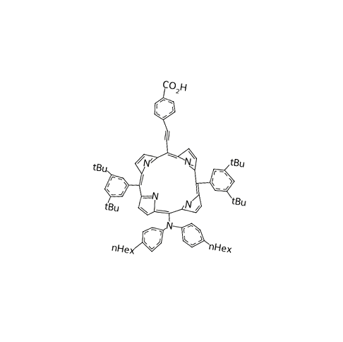 CCCCCCc1ccc(N(C2=C3C=CC(=N3)C(c3cc(C(C)(C)C)cc(C(C)(C)C)c3)=C3C=CC(=N3)C(C#Cc3ccc(C(=O)O)cc3)=C3C=CC(=N3)C(c3cc(C(C)(C)C)cc(C(C)(C)C)c3)=C3C=CC2=N3)c2ccc(CCCCCC)cc2)cc1